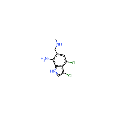 CNCc1cc(Cl)c2c(Cl)c[nH]c2c1N